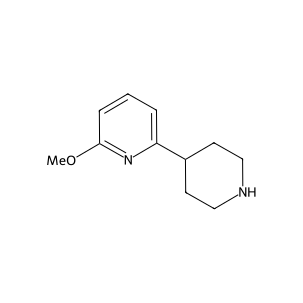 COc1cccc(C2CCNCC2)n1